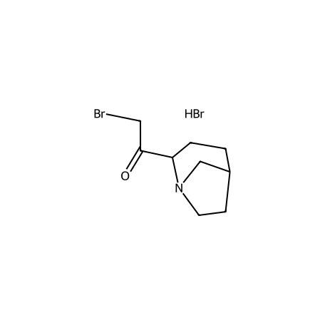 Br.O=C(CBr)C1CCC2CCN1C2